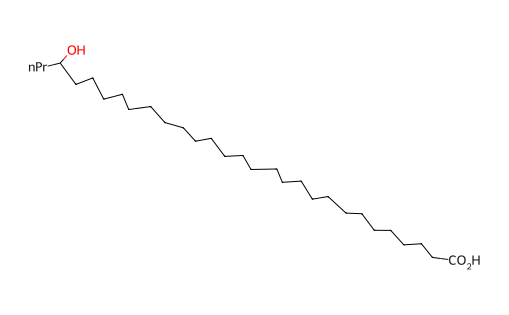 CCCC(O)CCCCCCCCCCCCCCCCCCCCCCCCCC(=O)O